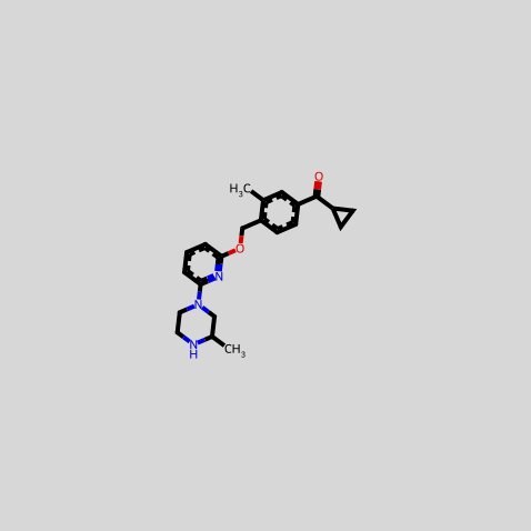 Cc1cc(C(=O)C2CC2)ccc1COc1cccc(N2CCNC(C)C2)n1